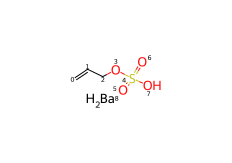 C=CCOS(=O)(=O)O.[BaH2]